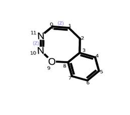 [C]1=C\Cc2ccccc2O\N=N/1